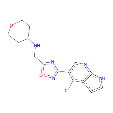 Clc1c(-c2noc(CNC3CCOCC3)n2)cnc2[nH]ccc12